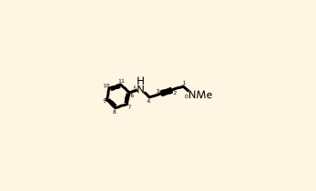 CNCC#CCNc1ccccc1